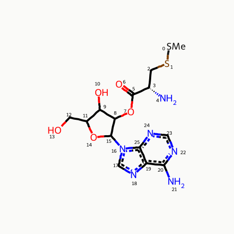 CSSC[C@H](N)C(=O)OC1C(O)C(CO)OC1n1cnc2c(N)ncnc21